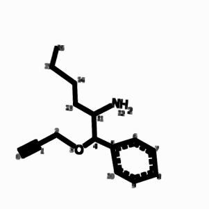 C#CCOC(c1ccccc1)C(N)CCCC